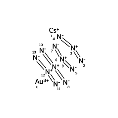 [Au+3].[Cs+].[N-]=[N+]=[N-].[N-]=[N+]=[N-].[N-]=[N+]=[N-].[N-]=[N+]=[N-]